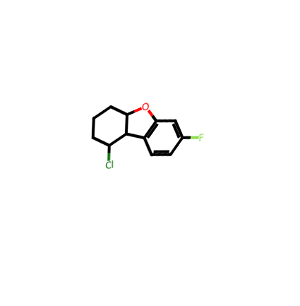 Fc1ccc2c(c1)OC1CCCC(Cl)C21